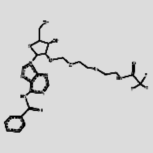 O=C(Nc1ncnc2c1ncn2C1OC(CO)[C@@H](O)[C@H]1OCOCCOCCNC(=O)C(F)(F)F)c1ccccc1